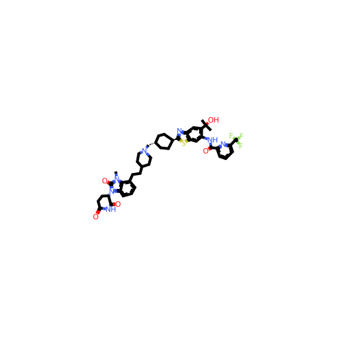 Cn1c(=O)n(C2CCC(=O)NC2=O)c2cccc(CCC3CCN(C[C@H]4CC[C@H](c5nc6cc(C(C)(C)O)c(NC(=O)c7cccc(C(F)(F)F)n7)cc6s5)CC4)CC3)c21